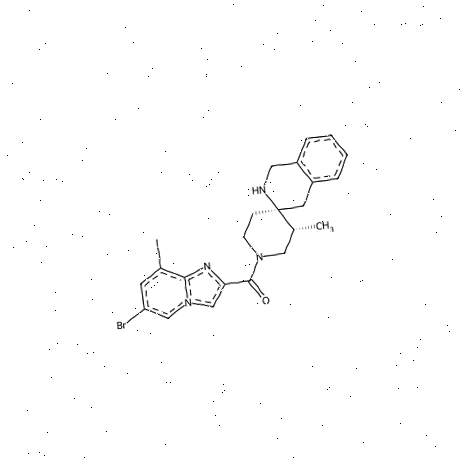 C[C@@H]1CN(C(=O)c2cn3cc(Br)cc(I)c3n2)CC[C@]12Cc1ccccc1CN2